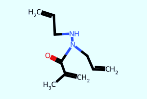 C=CCNN(CC=C)C(=O)C(=C)C